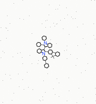 CC1(C)c2ccccc2-c2ccc(-c3c(-c4c(-c5ccccc5)n(-c5ccccc5)c5ccccc45)c4ccccc4n3-c3ccc(-c4ccccc4)cc3)cc21